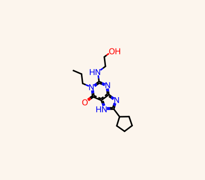 CCCn1c(NCCO)nc2nc(C3CCCC3)[nH]c2c1=O